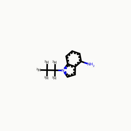 [2H]C([2H])([2H])C([2H])([2H])n1ccc2c(N)cccc21